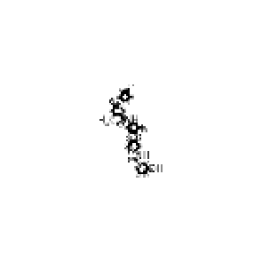 Cc1cc(=O)n(-c2ccc(I)cc2)nc1C(=O)Nc1ccc(Oc2ccnc(NC(=O)N3C=CC=C(O)C3)c2)c(F)c1